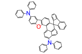 c1ccc(N(c2ccccc2)c2ccc3oc4c5c(ccc4c3c2)C2(c3ccccc3-c3ccccc32)c2cccc3c(N(c4ccccc4)c4ccccc4)ccc-5c23)cc1